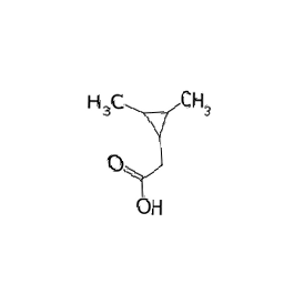 CC1C(C)C1CC(=O)O